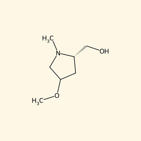 COC1C[C@@H](CO)N(C)C1